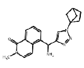 Cn1ccc2c(C(N)c3cn(C45CCC(C4)C5)nn3)cccc2c1=O